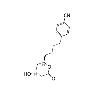 N#Cc1ccc(CCCC[C@@H]2C[C@@H](O)CC(=O)O2)cc1